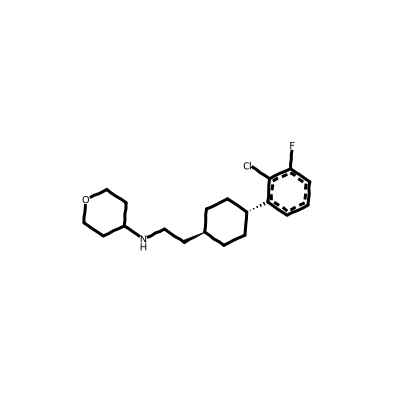 Fc1cccc([C@H]2CC[C@H](CCNC3CCOCC3)CC2)c1Cl